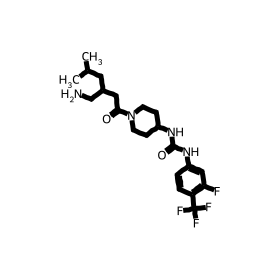 CC(C)CC(CN)CC(=O)N1CCC(NC(=O)Nc2ccc(C(F)(F)F)c(F)c2)CC1